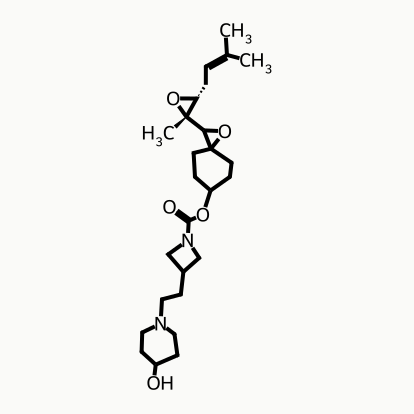 CC(C)=CC[C@H]1O[C@@]1(C)C1OC12CCC(OC(=O)N1CC(CCN3CCC(O)CC3)C1)CC2